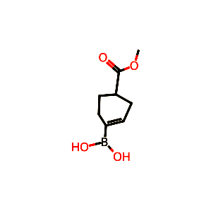 COC(=O)C1CC=C(B(O)O)CC1